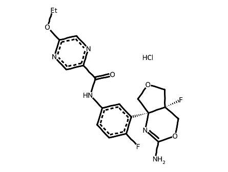 CCOc1cnc(C(=O)Nc2ccc(F)c([C@]34COC[C@@]3(F)COC(N)=N4)c2)cn1.Cl